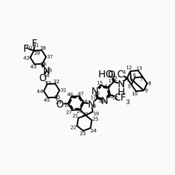 O=C(NC1(C(=O)O)C2CC3CC(C2)CC1C3)c1cnc(N2CC3(CCCCC3)c3cc(O[C@H]4CC[C@@H](ON=C5CCC(F)(F)CC5)CC4)ccc32)nc1C(F)(F)F